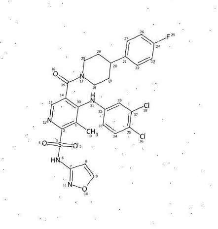 Cc1c(S(=O)(=O)Nc2ccon2)ncc(C(=O)N2CCC(c3ccc(F)cc3)CC2)c1Nc1ccc(Cl)c(Cl)c1